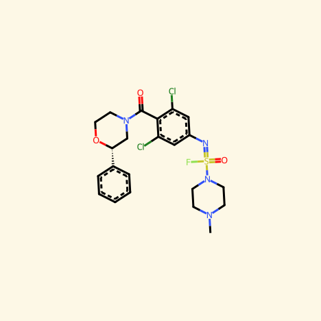 CN1CCN(S(=O)(F)=Nc2cc(Cl)c(C(=O)N3CCO[C@@H](c4ccccc4)C3)c(Cl)c2)CC1